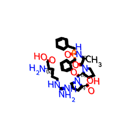 C[C@H](NP(=O)(Cc1ccccc1)Cc1ccccc1)C(=O)N1CCC[C@H]1C(=O)N1CCC[C@@H]1C(=O)O.N=C(N)NCCC[C@H](N)C(=O)O